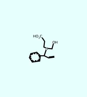 C=CC(c1ccccc1)N(CO)CCC(=O)O